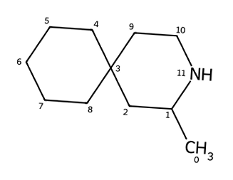 CC1CC2(CCCCC2)CCN1